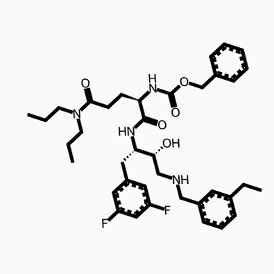 CCCN(CCC)C(=O)CC[C@@H](NC(=O)OCc1ccccc1)C(=O)N[C@@H](Cc1cc(F)cc(F)c1)[C@H](O)CNCc1cccc(CC)c1